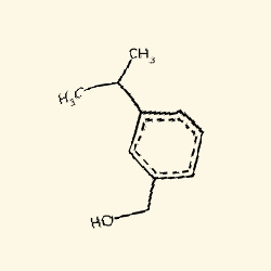 C[C](C)c1cccc(CO)c1